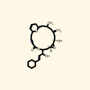 C=C1CC(C)C[C@@H]2CC=CC(C/C=C\C(=O)OC(C(O)/C=C/C3CCCCC3)C[C@@H]3OC3[C@@H](O)C1)O2